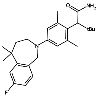 Cc1cc(N2CCC(C)(C)c3cc(F)ccc3C2)cc(C)c1C(C(N)=O)C(C)(C)C